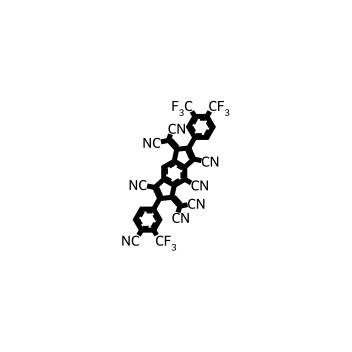 N#CC(C#N)=C1C(c2ccc(C(F)(F)F)c(C(F)(F)F)c2)=C(C#N)c2c1cc1c(c2C#N)C(=C(C#N)C#N)C(c2ccc(C#N)c(C(F)(F)F)c2)=C1C#N